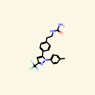 Cc1ccc(-n2nc(C(F)(F)F)cc2-c2ccc(CCNC(N)=O)cc2)cc1